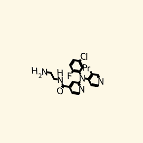 CC(C)c1cnccc1N(c1cc(C(=O)NCCN)ccn1)c1cc(Cl)ccc1F